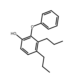 CCCc1ccc(O)c(Oc2ccccc2)c1CCC